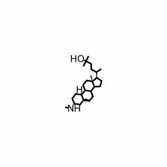 CN[C@H]1CC[C@H]2C(=CCC3C2CC[C@@]2(C)C3CC[C@@H]2C(C)CCC(C)(C)O)C1